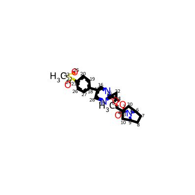 CC1(OC(=O)N2C3CCC2CC(COc2ncc(-c4ccc(S(C)(=O)=O)cc4)cn2)C3)CC1